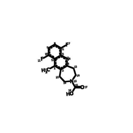 Cc1c2c(nc3c(F)ccc(F)c13)CCN(C(=O)O)CC2